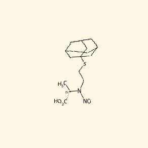 C[C@@H](C(=O)O)N(CCSC12CC3CC(CC(C3)C1)C2)N=O